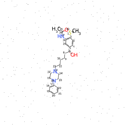 CSc1ccc(C(O)CCCCCN2CCN(c3ccccc3)CC2)cc1NC(C)=O